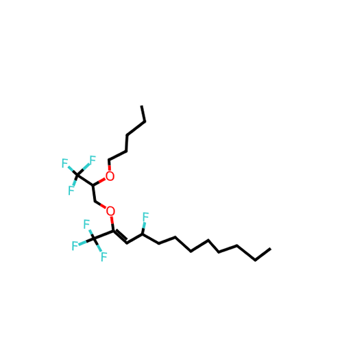 CCCCCCCCC(F)C=C(OCC(OCCCCC)C(F)(F)F)C(F)(F)F